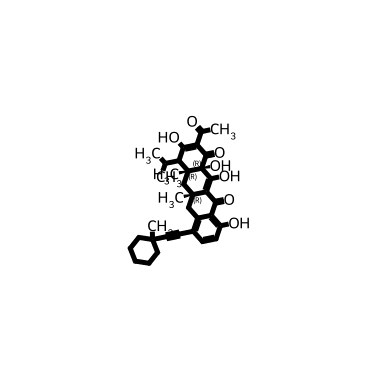 CC(=O)C1=C(O)C(C(C)C)[C@@]2(C)C[C@@]3(C)Cc4c(C#CC5(C)CCCCC5)ccc(O)c4C(=O)C3=C(O)[C@@]2(O)C1=O